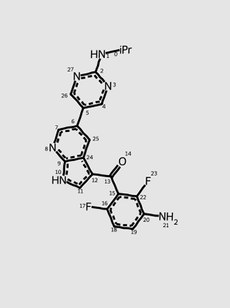 CC(C)Nc1ncc(-c2cnc3[nH]cc(C(=O)c4c(F)ccc(N)c4F)c3c2)cn1